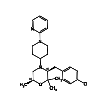 C[C@H]1CN(C2CCN(c3ccccn3)CC2)[C@@H](Cc2ccc(Cl)cc2)C(C)(C)O1